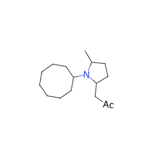 CC(=O)CC1CCC(C)N1C1CCCCCCC1